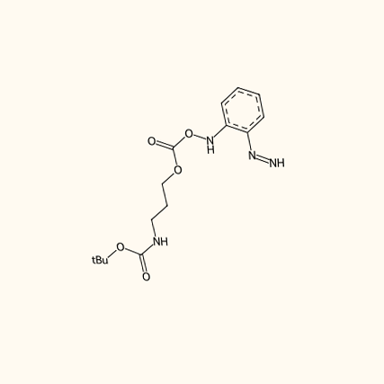 CC(C)(C)OC(=O)NCCCOC(=O)ONc1ccccc1N=N